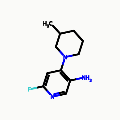 CC1CCCN(c2cc(F)ncc2N)C1